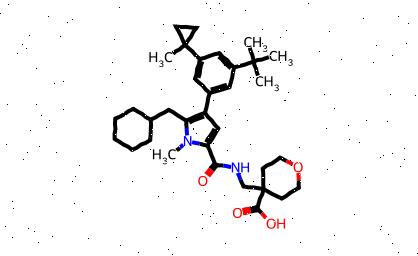 Cn1c(C(=O)NCC2(C(=O)O)CCOCC2)cc(-c2cc(C(C)(C)C)cc(C3(C)CC3)c2)c1CC1CCCCC1